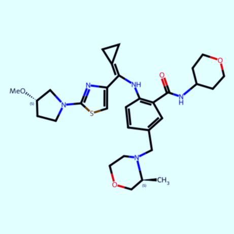 CO[C@H]1CCN(c2nc(C(Nc3ccc(CN4CCOC[C@@H]4C)cc3C(=O)NC3CCOCC3)=C3CC3)cs2)C1